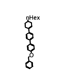 CCCCCCC1CC=C(c2ccc(-c3ccc(OCc4ccccc4)cc3)cc2)CC1